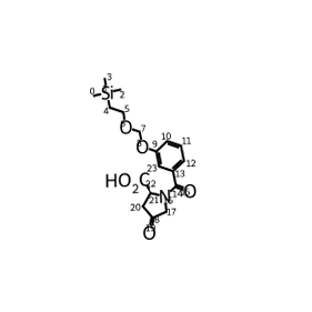 C[Si](C)(C)CCOCOc1cccc(C(=O)N2CC(=O)C[C@H]2C(=O)O)c1